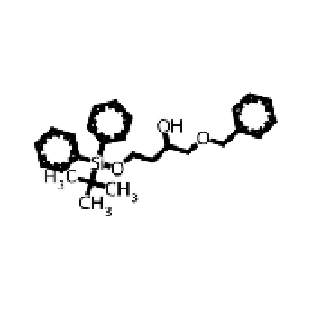 CC(C)(C)[Si](OCCC(O)COCc1ccccc1)(c1ccccc1)c1ccccc1